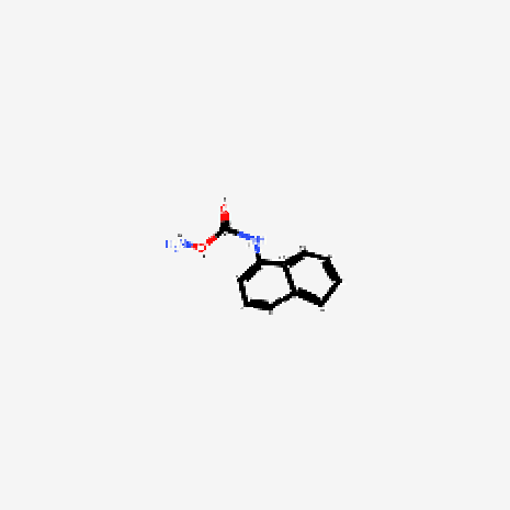 NOC(=O)Nc1cccc2ccccc12